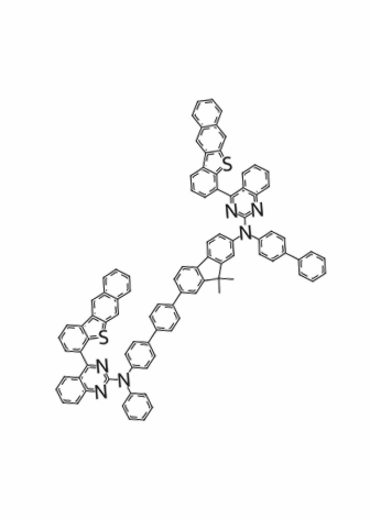 CC1(C)c2cc(-c3ccc(-c4ccc(N(c5ccccc5)c5nc(-c6cccc7c6sc6cc8ccccc8cc67)c6ccccc6n5)cc4)cc3)ccc2-c2ccc(N(c3ccc(-c4ccccc4)cc3)c3nc(-c4cccc5c4sc4cc6ccccc6cc45)c4ccccc4n3)cc21